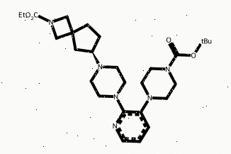 CCOC(=O)N1CC2(CC[C@@H](N3CCN(c4ncccc4N4CCN(C(=O)OC(C)(C)C)CC4)CC3)C2)C1